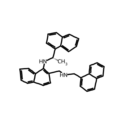 C[C@H](Nc1c(CNCc2cccc3ccccc23)ccc2ccccc12)c1cccc2ccccc12